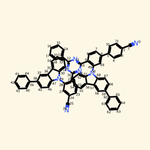 N#Cc1ccc(-c2ccc(-c3nc(-c4ccccc4)nc(-c4ccc(C#N)cc4-n4c5ccccc5c5cc(-c6ccccc6)ccc54)n3)c(-n3c4ccccc4c4cc(-c5ccccc5)ccc43)c2)cc1